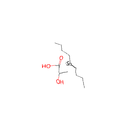 CC(O)C(=O)O.CCC[CH2][Sn][CH2]CCC